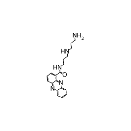 NCCCNCCCNC(=O)c1cccc2nc3ccccc3nc12